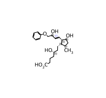 C[C@H]1C[C@@H](O)[C@H](/C=C/[C@@H](O)COc2ccccc2)[C@H]1CC[C@@H](O)CCCC(=O)O